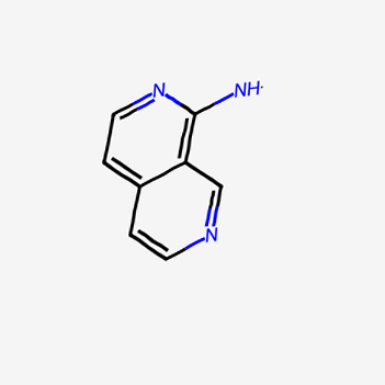 [NH]c1nccc2ccncc12